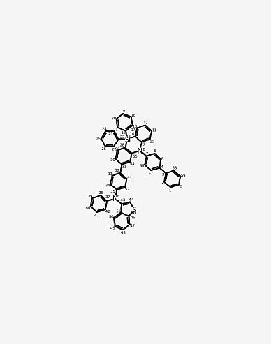 c1ccc(-c2ccc(N3c4ccccc4[Si](c4ccccc4)(c4ccccc4)c4ccc(-c5ccc(N(c6ccccc6)c6csc7ccccc67)cc5)cc43)cc2)cc1